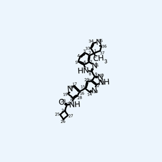 CC1(c2cccc3[nH]c(-c4n[nH]c5ncc(-c6cncc(NC(=O)C7CCC7)c6)cc45)nc23)C=CN=CC1